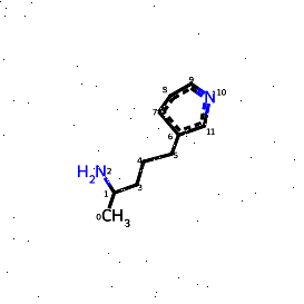 CC(N)CCCc1cccnc1